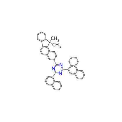 CC1(C)c2ccccc2-c2ccc3cc(-c4nc(-c5cccc6ccccc56)nc(-c5cc6ccccc6c6ccccc56)n4)ccc3c21